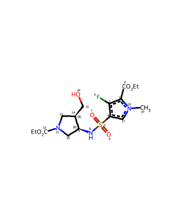 CCOC(=O)c1c(F)c(S(=O)(=O)N[C@H]2CN(C(=O)OCC)C[C@H]2CO)cn1C